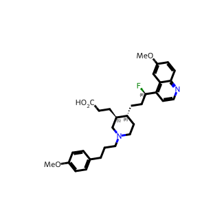 COc1ccc(CCCN2CC[C@@H](CC[C@@H](F)c3ccnc4ccc(OC)cc34)[C@H](CCC(=O)O)C2)cc1